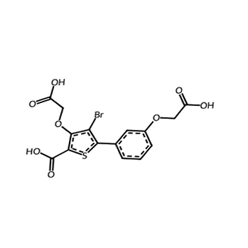 O=C(O)COc1cccc(-c2sc(C(=O)O)c(OCC(=O)O)c2Br)c1